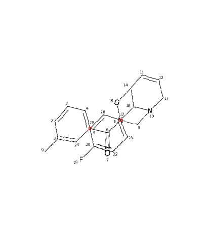 Cc1cccc(C(=O)N2CN3CC=CC(O2)C3c2ccc(F)cc2)c1